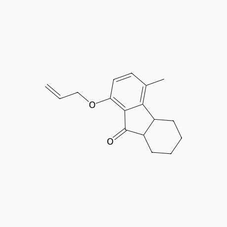 C=CCOc1ccc(C)c2c1C(=O)C1CCCCC21